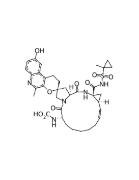 Cc1nc2ccc(O)cc2c2c1O[C@]1(CC2)C[C@H]2C(=O)N[C@]3(C(=O)NS(=O)(=O)C4(C)CC4)C[C@H]3C=CCCCCC[C@H](NC(=O)O)C(=O)N2C1